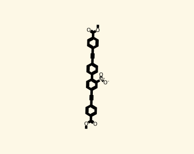 COC(=O)c1ccc(C#Cc2ccc(-c3ccc(C#Cc4ccc(C(=O)OC)cc4)cc3[N+](=O)[O-])cc2)cc1